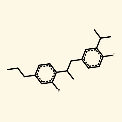 CCCc1ccc(C(C)Cc2ccc(F)c(C(C)C)c2)c(F)c1